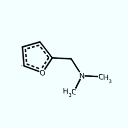 CN(C)Cc1cc[c]o1